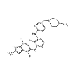 Cc1cc2c(F)c(Oc3ncnc(Nc4ccc(CN5CCN(C)CC5)cn4)c3F)cc(F)c2[nH]1